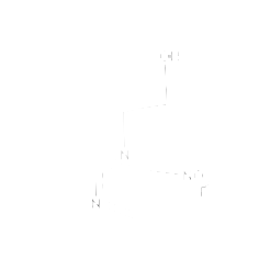 Cc1ncc([N+](=O)[O-])n1CCO.[Pt]